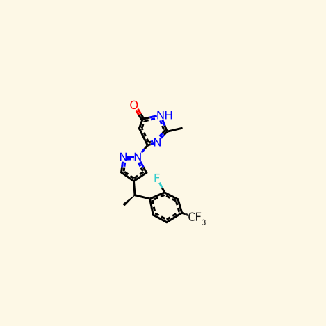 Cc1nc(-n2cc([C@H](C)c3ccc(C(F)(F)F)cc3F)cn2)cc(=O)[nH]1